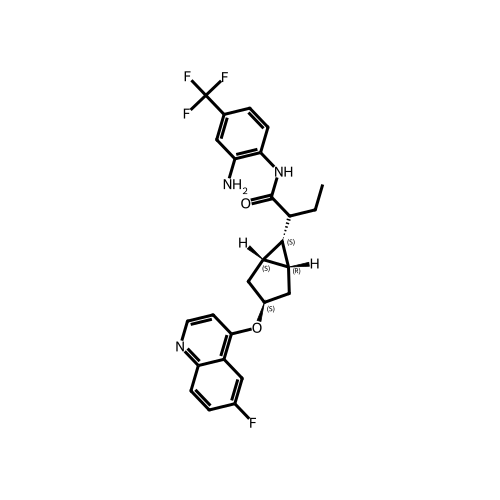 CCC(C(=O)Nc1ccc(C(F)(F)F)cc1N)[C@@H]1[C@@H]2C[C@@H](Oc3ccnc4ccc(F)cc34)C[C@@H]21